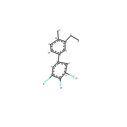 CCc1cc(-c2cc(F)c(F)c(F)c2)ccc1C